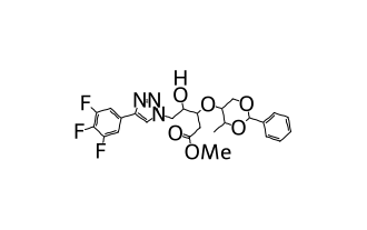 COC(=O)CC(OC1COC(c2ccccc2)OC1C)C(O)Cn1cc(-c2cc(F)c(F)c(F)c2)nn1